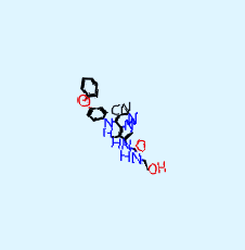 Cc1c(NC(=O)NCCO)cn2ncc(C#N)c(Nc3ccc(Oc4ccccc4)cc3)c12